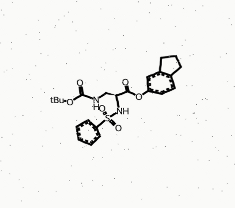 CC(C)(C)OC(=O)NC[C@H](NS(=O)(=O)c1ccccc1)C(=O)Oc1ccc2c(c1)CCC2